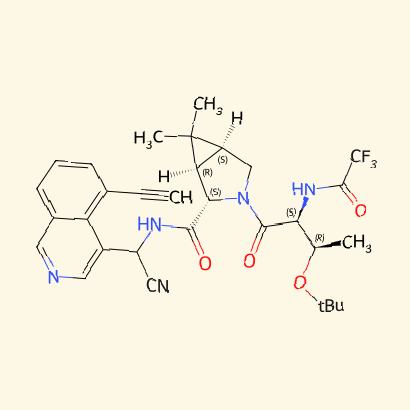 C#Cc1cccc2cncc(C(C#N)NC(=O)[C@@H]3[C@@H]4[C@H](CN3C(=O)[C@@H](NC(=O)C(F)(F)F)[C@@H](C)OC(C)(C)C)C4(C)C)c12